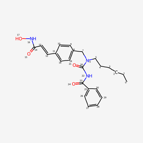 CCCCCCN(Cc1ccc(C=CC(=O)NO)cc1)C(=O)NC(=O)c1ccccc1